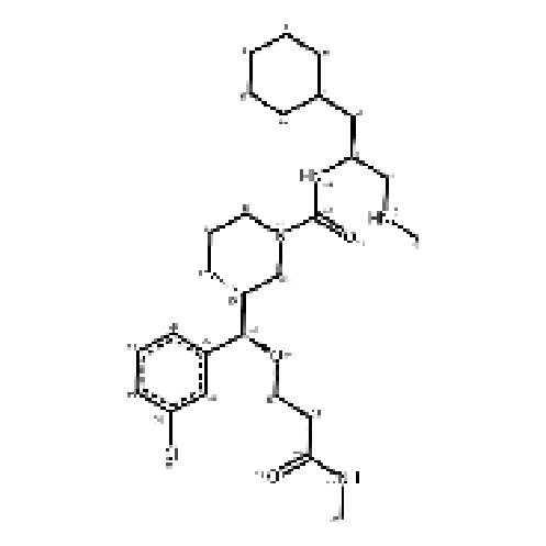 CNCC(CC1CCCCC1)NC(=O)N1CCC[C@@H]([C@@H](OCCC(=O)NC)c2cccc(Cl)c2)C1